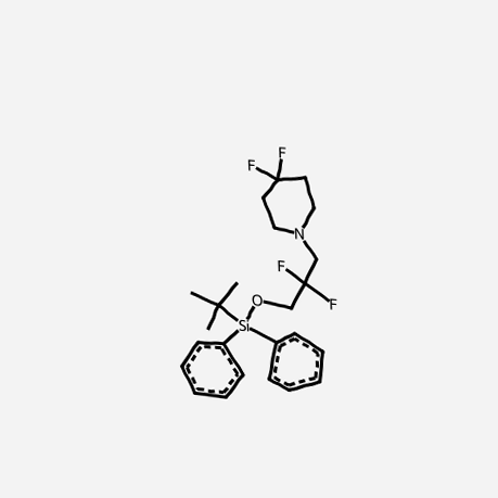 CC(C)(C)[Si](OCC(F)(F)CN1CCC(F)(F)CC1)(c1ccccc1)c1ccccc1